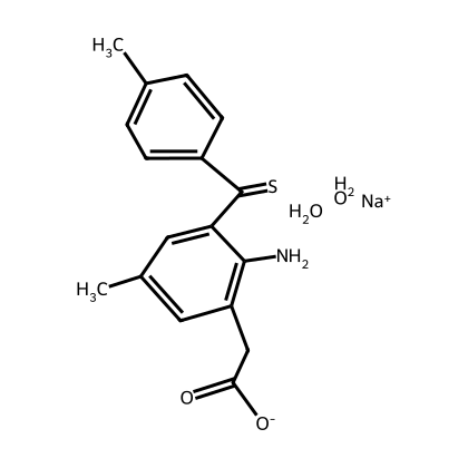 Cc1ccc(C(=S)c2cc(C)cc(CC(=O)[O-])c2N)cc1.O.O.[Na+]